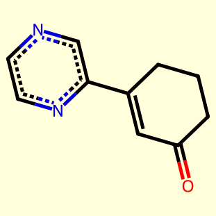 O=C1C=C(c2cnccn2)CCC1